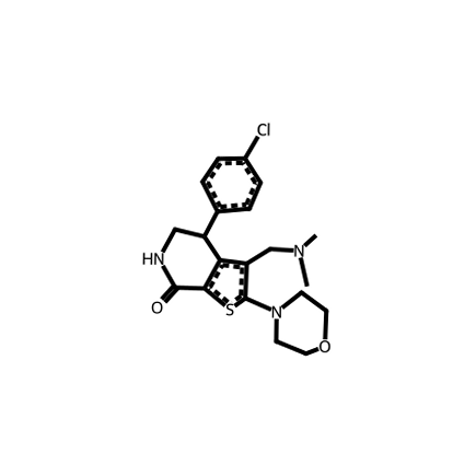 CN(C)Cc1c(N2CCOCC2)sc2c1C(c1ccc(Cl)cc1)CNC2=O